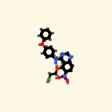 O=[N+]([O-])c1ccc2ncnc(Nc3ccc(Oc4ccccc4)cc3)c2c1OCCCl